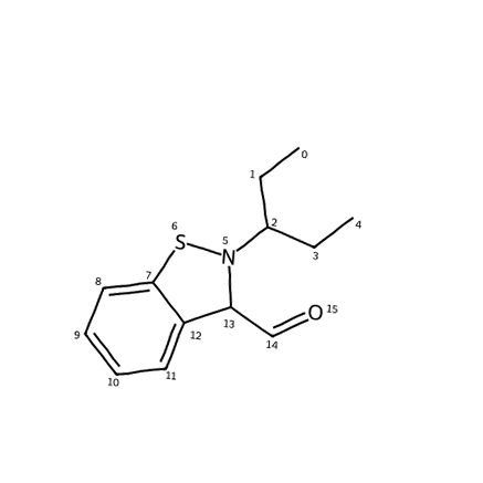 CCC(CC)N1Sc2ccccc2C1C=O